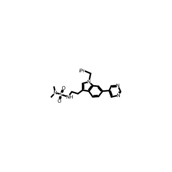 CC(C)Cn1cc(CCNS(=O)(=O)N(C)C)c2ccc(-c3cncnc3)cc21